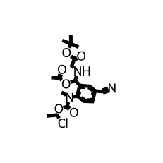 CC(=O)OC(NCC(=O)OC(C)(C)C)c1cc(C#N)ccc1N(C)C(=O)OC(C)Cl